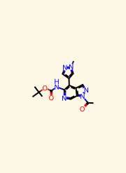 CC(=O)n1ncc2c(-c3cnn(C)c3)c(NC(=O)OC(C)(C)C)ncc21